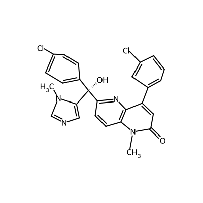 Cn1cncc1[C@@](O)(c1ccc(Cl)cc1)c1ccc2c(n1)c(-c1cccc(Cl)c1)cc(=O)n2C